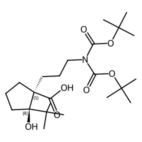 CC(C)(C)OC(=O)N(CCC[C@@]1(C(=O)O)CCC[C@@]1(O)C(C)(C)C)C(=O)OC(C)(C)C